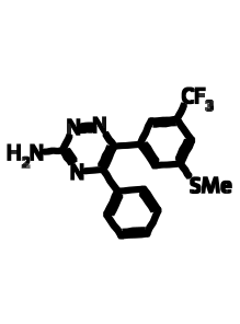 CSc1cc(-c2nnc(N)nc2-c2ccccc2)cc(C(F)(F)F)c1